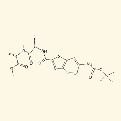 C=C(NC(=O)c1nc2ccc(NC(=O)OC(C)(C)C)cc2s1)C(=O)NC(=C)C(=O)OC